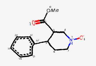 COC(=O)C1C[NH+]([O-])CCC1c1ccccc1